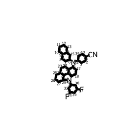 N#Cc1ccc(N(c2ccc3ccccc3c2)c2ccc3c4c2ccc2cccc(c24)n3-c2cc(F)cc(F)c2)cc1